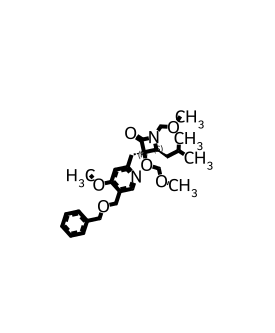 COCO[C@@]1(Cc2cc(OC)c(COCc3ccccc3)cn2)C(=O)N(COC)[C@H]1CC(C)C